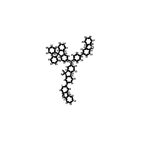 CC1(C)c2cc(-c3ccc4sc5ccccc5c4c3)ccc2-c2ccc(N(c3ccc(-c4ccc5oc6ccccc6c5c4)cc3)c3ccc4c(c3)-c3ccccc3C4(c3ccccc3)c3ccccc3)cc21